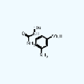 CCCCNC(N)=O.Nc1cccc(S(=O)(=O)O)c1